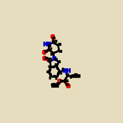 CCCCC(Nc1cccc2c1CN(C1CCC(=O)NC1=O)C2=O)C(=O)OC(C)(C)C